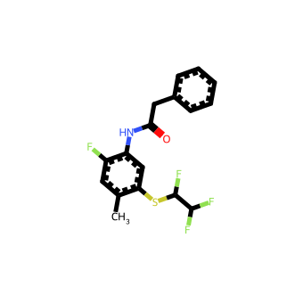 Cc1cc(F)c(NC(=O)Cc2ccccc2)cc1SC(F)C(F)F